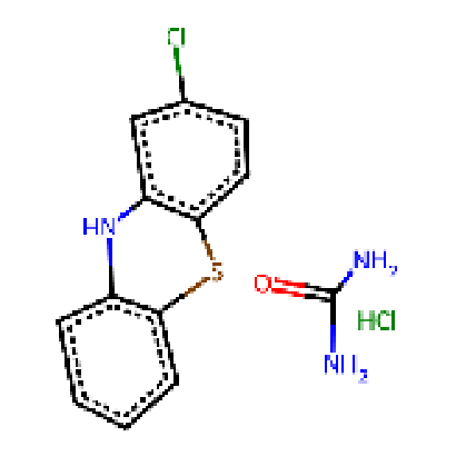 Cl.Clc1ccc2c(c1)Nc1ccccc1S2.NC(N)=O